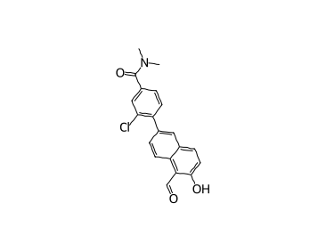 CN(C)C(=O)c1ccc(-c2ccc3c(C=O)c(O)ccc3c2)c(Cl)c1